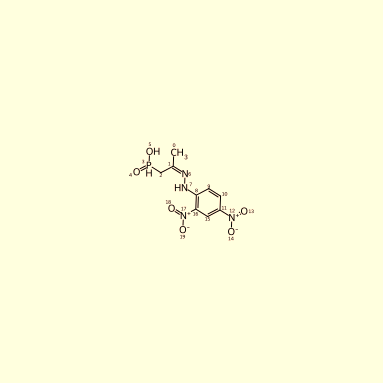 CC(C[PH](=O)O)=NNc1ccc([N+](=O)[O-])cc1[N+](=O)[O-]